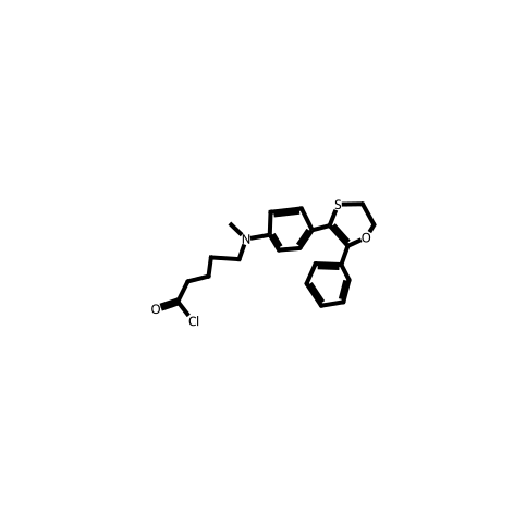 CN(CCCCC(=O)Cl)c1ccc(C2=C(c3ccccc3)OCCS2)cc1